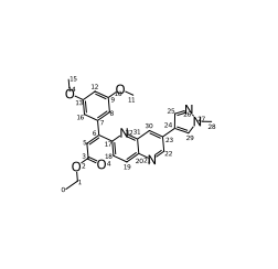 CCOC(=O)/C=C(/c1cc(OC)cc(OC)c1)c1ccc2ncc(-c3cnn(C)c3)cc2n1